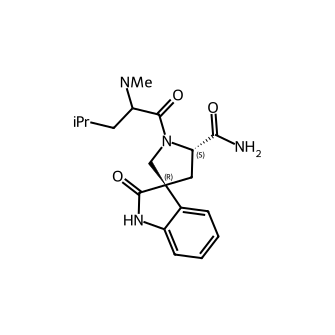 CNC(CC(C)C)C(=O)N1C[C@]2(C[C@H]1C(N)=O)C(=O)Nc1ccccc12